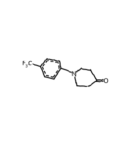 O=C1CCN(c2ccc(C(F)(F)F)cc2)CC1